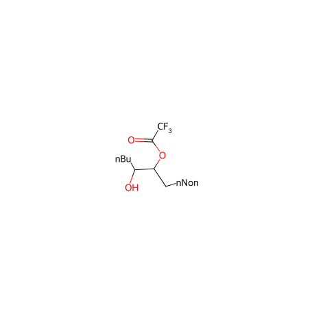 CCCCCCCCCCC(OC(=O)C(F)(F)F)C(O)CCCC